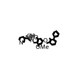 COc1cc(OCc2cccc(-c3ccccc3)c2C)cc(OC)c1CNCC(O)c1cccnc1